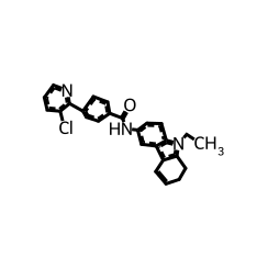 CCn1c2c(c3cc(NC(=O)c4ccc(-c5ncccc5Cl)cc4)ccc31)C=CCC2